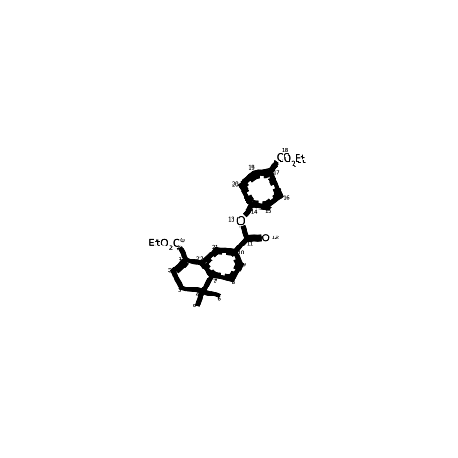 CCOC(=O)C1=CCC(C)(C)c2ccc(C(=O)Oc3ccc(C(=O)OCC)cc3)cc21